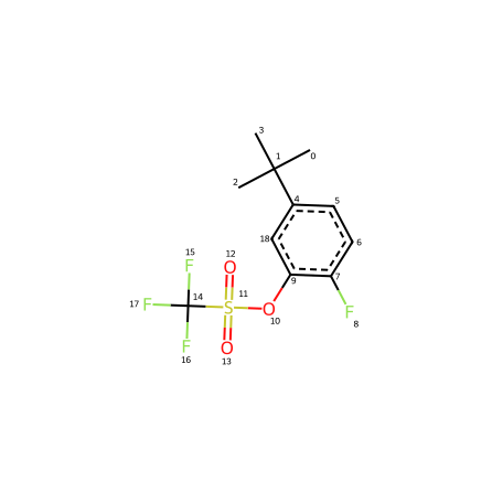 CC(C)(C)c1ccc(F)c(OS(=O)(=O)C(F)(F)F)c1